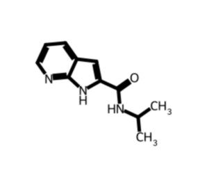 CC(C)NC(=O)c1cc2cccnc2[nH]1